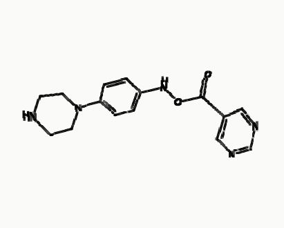 O=C(ONc1ccc(N2CCNCC2)cc1)c1cncnc1